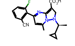 CC1=CC(c2c(F)cccc2C#N)=NC2=C(C(=O)O)CN([C@@H](C)C3CC3)N12